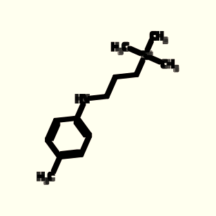 Cc1ccc(NCCC[N+](C)(C)C)cc1